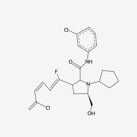 C=C(Cl)/C=C\C=C(/F)C1C[C@H](CO)N(C2CCCC2)C1C(=O)Nc1cccc(Cl)c1